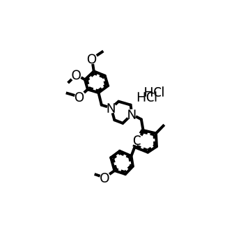 COc1ccc(-c2ccc(C)c(CN3CCN(Cc4ccc(OC)c(OC)c4OC)CC3)c2)cc1.Cl.Cl